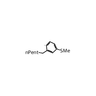 CCCCCCc1[c]ccc(SC)c1